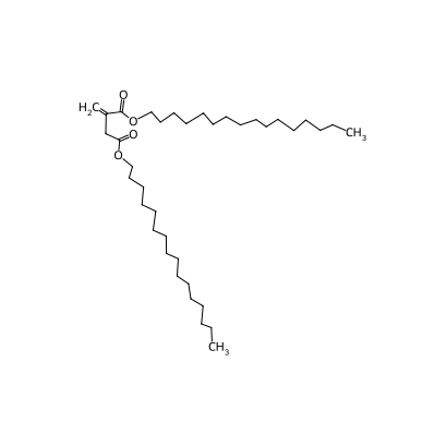 C=C(CC(=O)OCCCCCCCCCCCCCCCC)C(=O)OCCCCCCCCCCCCCCCC